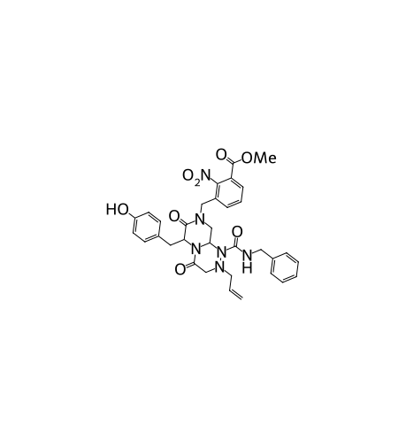 C=CCN1CC(=O)N2C(Cc3ccc(O)cc3)C(=O)N(Cc3cccc(C(=O)OC)c3[N+](=O)[O-])CC2N1C(=O)NCc1ccccc1